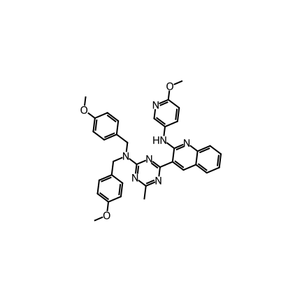 COc1ccc(CN(Cc2ccc(OC)cc2)c2nc(C)nc(-c3cc4ccccc4nc3Nc3ccc(OC)nc3)n2)cc1